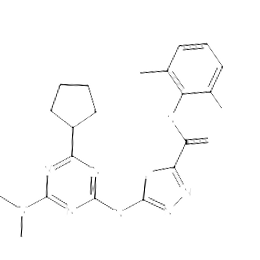 Cc1cccc(Cl)c1NC(=O)c1nnc(Nc2nc(C3CCCC3)nc(N(C)C)n2)o1